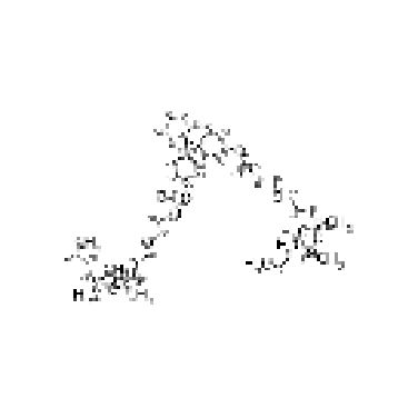 CCCC[Si](C)(C)O[Si](C)(C)CCCOCCOC(=O)Oc1ccc(C2(c3ccc(OC(=O)OCCOCCC[Si](C)(C)O[Si](C)(C)CCCC)cc3)CCCCC2)cc1